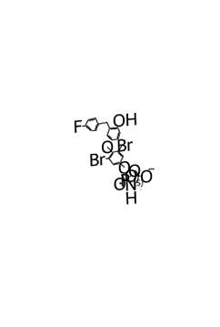 CCOC(=O)[C@H](C)NP(=O)(COc1cc(Br)c(Oc2ccc(O)c(Cc3ccc(F)cc3)c2)c(Br)c1)OC